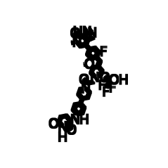 COc1cc(-c2cn(C)c(=O)c3[nH]ncc23)cc(F)c1C=C1CCN(CC(=O)N2CCC(c3ccc(NC4CCC(=O)NC4=O)cc3)CC2)CC1.O=C(O)C(F)(F)F